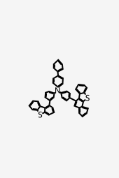 c1ccc(-c2ccc(N(c3ccc(-c4cc5ccccc5c5sc6ccccc6c45)cc3)c3cccc(-c4cccc5sc6ccccc6c45)c3)cc2)cc1